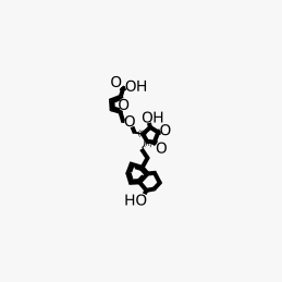 O=C(O)c1ccc(COC[C@H]2C(O)C(=O)C(=O)[C@@H]2CCc2cccc3c2CCCC3O)o1